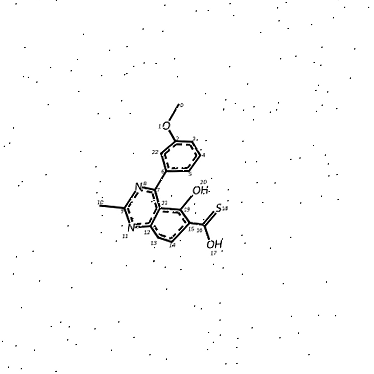 COc1cccc(-c2nc(C)nc3ccc(C(O)=S)c(O)c23)c1